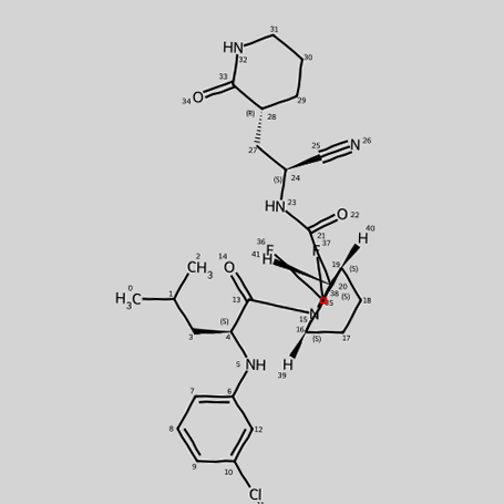 CC(C)C[C@H](Nc1cccc(Cl)c1)C(=O)N1[C@H]2CC[C@@H]([C@H]1C(=O)N[C@H](C#N)C[C@H]1CCCNC1=O)C(F)(F)C2